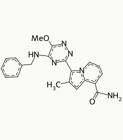 COc1nnc(-c2c(C)cc3c(C(N)=O)cccn23)nc1NCc1ccccc1